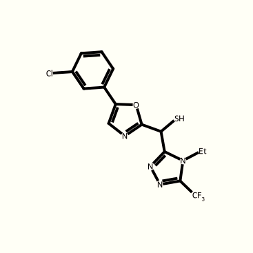 CCn1c(C(S)c2ncc(-c3cccc(Cl)c3)o2)nnc1C(F)(F)F